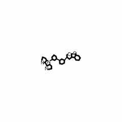 c1cc(-c2cccc(-n3c4cccnc4c4ncccc43)c2)cc(-c2ccc3oc4ccccc4c3c2)c1